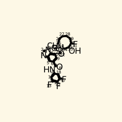 Cn1cnc2cc(C(=O)Nc3cc(F)c(F)c(F)c3)cc(S(=O)(=O)N3CCCCCC(F)C(O)C3)c21